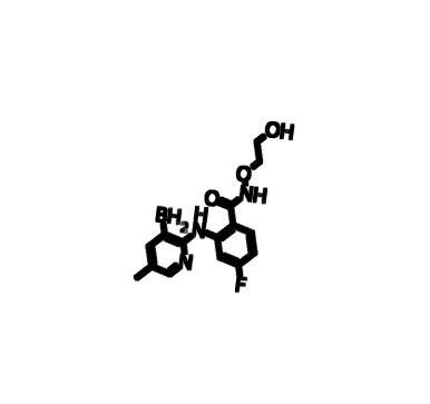 Bc1cc(C)cnc1Nc1cc(F)ccc1C(=O)NOCCO